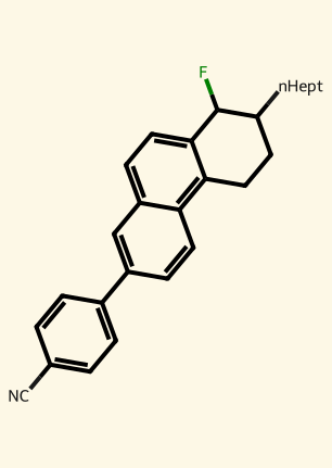 CCCCCCCC1CCc2c(ccc3cc(-c4ccc(C#N)cc4)ccc23)C1F